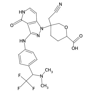 CN(C)C(c1ccc(Nc2nn(C3(CC#N)CCC(C(=O)O)OC3)c3cc[nH]c(=O)c23)cc1)C(F)(F)F